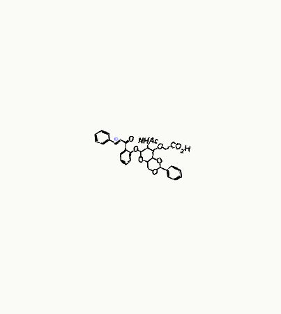 CC(=O)NC1C(Oc2ccccc2C(=O)/C=C/c2ccccc2)OC2COC(c3ccccc3)OC2C1OCC(=O)O